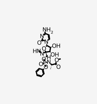 COC(=O)[C@H](C)NP(=O)(OC[C@@]1(N=N)O[C@@H](n2ccc(N)nc2=O)[C@H](O)[C@@H]1O)Oc1ccccc1